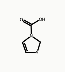 O=C(O)N1C=CSC1